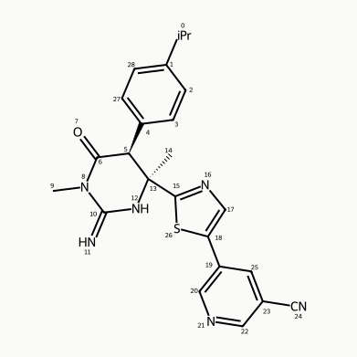 CC(C)c1ccc([C@@H]2C(=O)N(C)C(=N)N[C@]2(C)c2ncc(-c3cncc(C#N)c3)s2)cc1